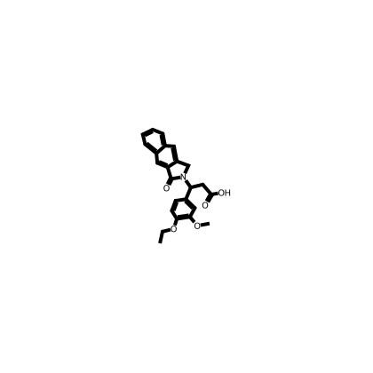 CCOc1ccc(C(CC(=O)O)N2Cc3cc4ccccc4cc3C2=O)cc1OC